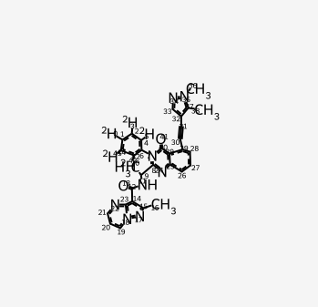 [2H]c1c([2H])c([2H])c(-n2c(C(C)NC(=O)c3c(C)nn4cccnc34)nc3cccc(C#Cc4cnn(C)c4C)c3c2=O)c([2H])c1[2H]